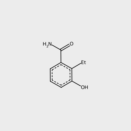 CCc1c(O)cccc1C(N)=O